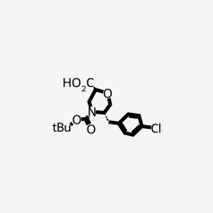 CC(C)(C)OC(=O)N1C[C@H](C(=O)O)OC[C@@H]1Cc1ccc(Cl)cc1